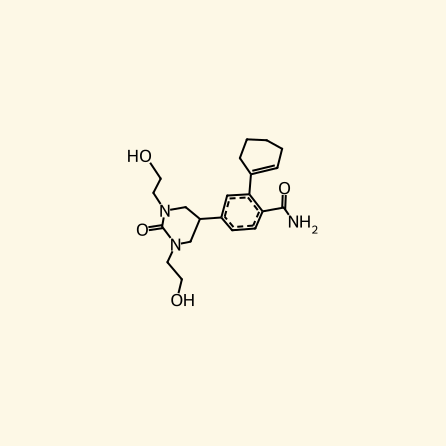 NC(=O)c1ccc(C2CN(CCO)C(=O)N(CCO)C2)cc1C1=CCCCC1